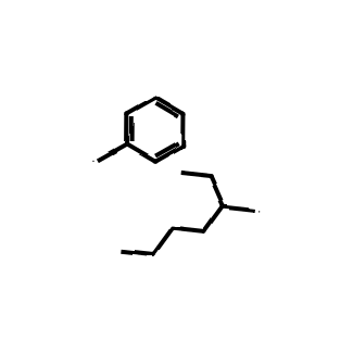 [CH2]C(CC)CCCC.[CH2]c1ccccc1